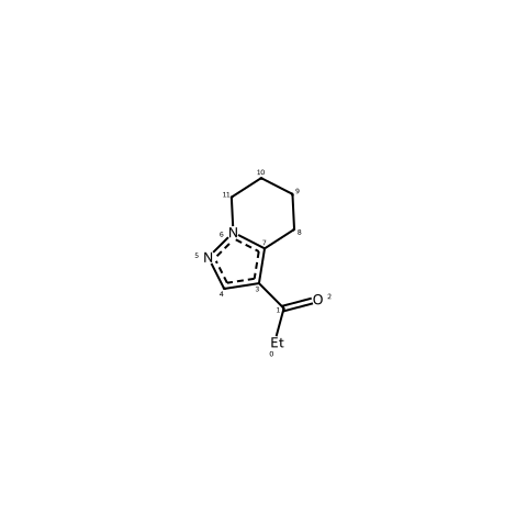 CCC(=O)c1cnn2c1CCCC2